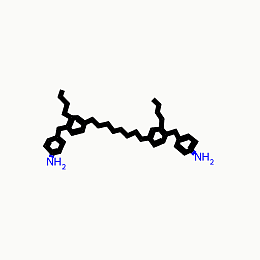 CCCCc1cc(CCCCCCCCc2ccc(Cc3ccc(N)cc3)c(CCCC)c2)ccc1Cc1ccc(N)cc1